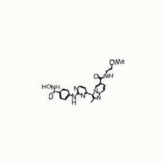 COCCNC(=O)c1ccc2nc(C)c(-c3ccnc(Nc4ccc(C(=O)NO)cc4)n3)n2c1